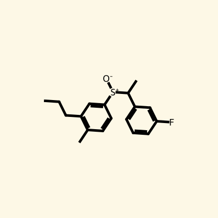 CCCc1cc([S+]([O-])C(C)c2cccc(F)c2)ccc1C